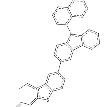 C=C/C=c1/sc2ccc(-c3ccc4c(c3)c3ccccc3n4-c3cccc4ccccc34)cc2/c1=C/C